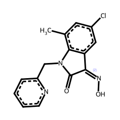 Cc1cc(Cl)cc2c1N(Cc1ccccn1)C(=O)/C2=N\O